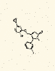 CN1C(=O)CC(COc2nc(C3CC3)ncc2C#N)C1c1cccc(Cl)c1